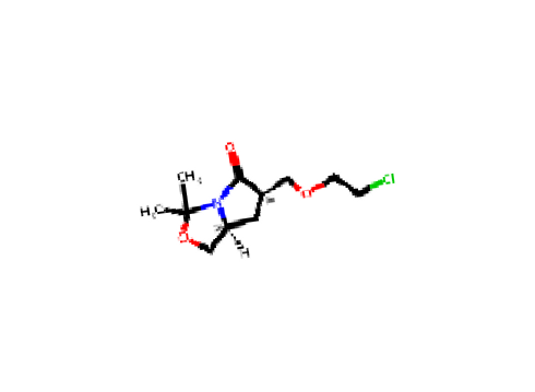 CC1(C)OC[C@@H]2C[C@H](COCCCl)C(=O)N21